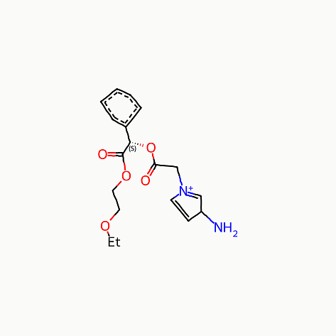 CCOCCOC(=O)[C@@H](OC(=O)C[N+]1=CC(N)C=C1)c1ccccc1